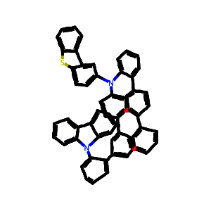 c1ccc(-c2ccc(-c3ccccc3N(c3ccc(-c4cccc(-c5ccccc5-n5c6ccccc6c6ccccc65)c4)cc3)c3ccc4sc5ccccc5c4c3)cc2)cc1